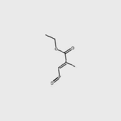 CCOC(=O)C(C)=CP=O